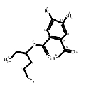 CCCC(CC)OC(=O)c1cc(Br)c(C)cc1C(=O)O